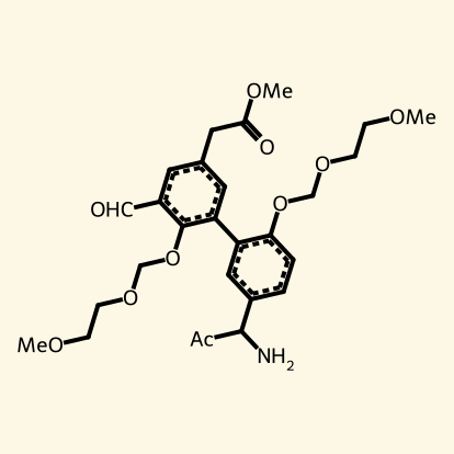 COCCOCOc1ccc(C(N)C(C)=O)cc1-c1cc(CC(=O)OC)cc(C=O)c1OCOCCOC